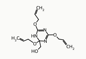 C=CCOC1=NC(CO)(OCC=C)NC(OCC=C)=N1